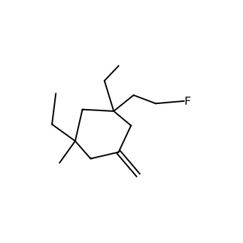 C=C1CC(C)(CC)CC(CC)(CCF)C1